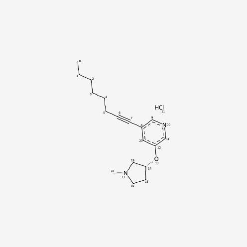 CCCCCCC#Cc1cncc(O[C@@H]2CCN(C)C2)c1.Cl